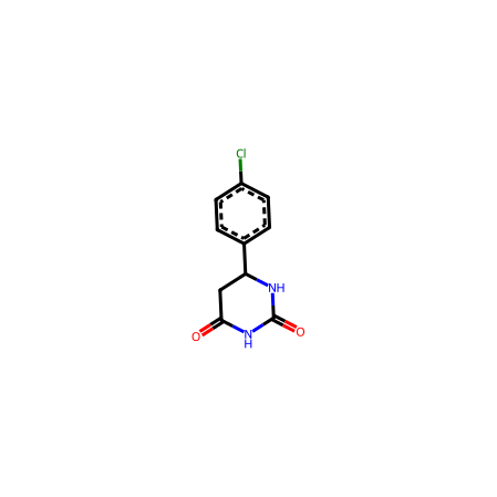 O=C1CC(c2ccc(Cl)cc2)NC(=O)N1